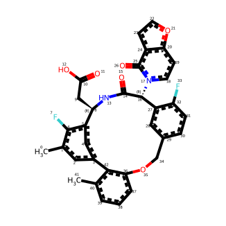 Cc1cc2cc(c1F)[C@@H](CC(=O)O)NC(=O)[C@H](n1ccc3occc3c1=O)c1cc(ccc1F)COc1cccc(C)c1-2